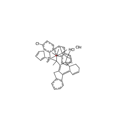 Cl.Cl.[CH2]=[Zr]([C]1=CC=CC1)([c]1cccc(Cl)c1)([c]1cccc2ccccc12)[C]1(C)C2=C3Cc4ccccc4C3=C3C=CCCC3C2(C)C(C)(C)C(C)(C)C1(C)C